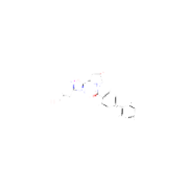 O=C1CC(c2nc(CCO)no2)N(C(=O)c2ccc(-c3ccccc3)cc2)C1